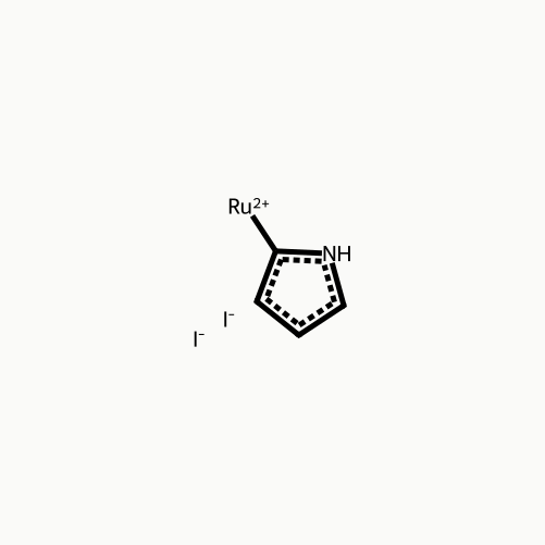 [I-].[I-].[Ru+2][c]1ccc[nH]1